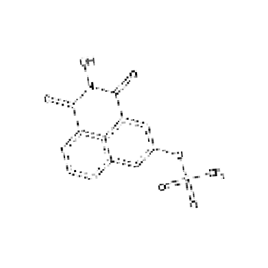 O=C1c2cccc3cc(OS(=O)(=O)C(F)(F)F)cc(c23)C(=O)N1O